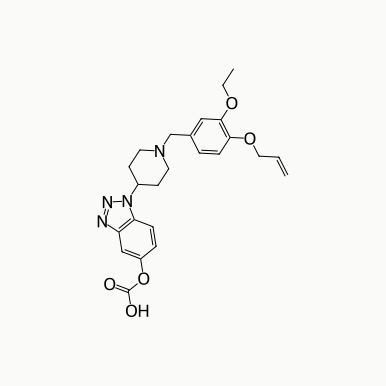 C=CCOc1ccc(CN2CCC(n3nnc4cc(OC(=O)O)ccc43)CC2)cc1OCC